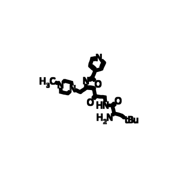 CN1CCN(Cc2nc(-c3ccncc3)oc2C(=O)CNC(=O)C(N)CC(C)(C)C)CC1